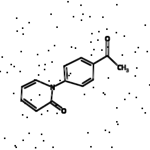 CC(=O)c1ccc(-n2ccccc2=O)cc1